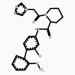 O=C(Nc1ccc(-c2ccccc2OC(F)(F)F)c(Cl)c1)C1CCCCN1C(=O)Cn1cnnc1